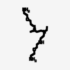 CCN(CCNCCOCCN)CCN(C)SCCOCCN